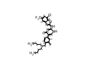 NCCCN(CCCN)Cc1ccc(-c2c[nH]c(Nc3nc4cc(C(F)(F)F)cc(Cl)c4o3)nc2=O)cc1F